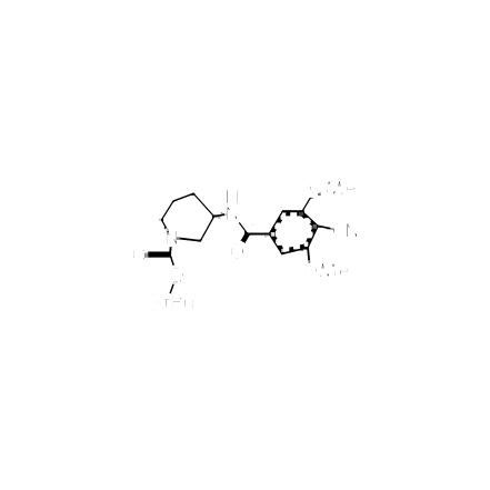 COc1cc(C(=O)NC2CCCN(C(=O)OC(C)(C)C)C2)cc(OC)c1C#N